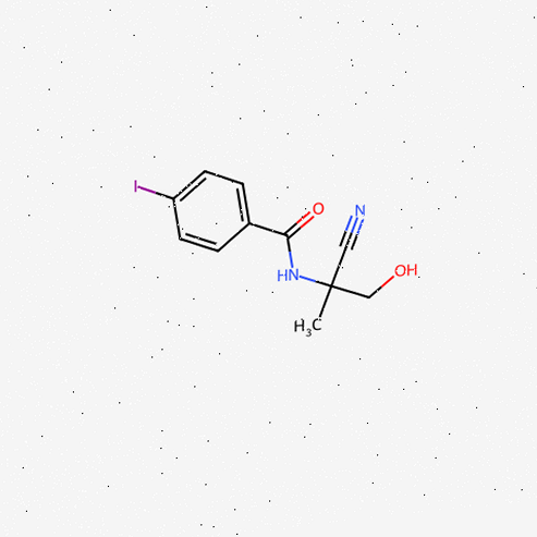 CC(C#N)(CO)NC(=O)c1ccc(I)cc1